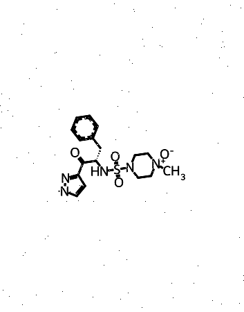 C[N+]1([O-])CCN(S(=O)(=O)N[C@@H](Cc2ccccc2)C(=O)C2=N[N]C=C2)CC1